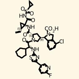 C=C[C@@H]1C[C@]1(NC(=O)[C@@H]1C[C@@H](C2c3cccc(Cl)c3CN2C(=O)O)CN1C(=O)[C@@H](Nc1nc(-c2ccc(F)nc2)cs1)C1CCCCC1)C(=O)NS(=O)(=O)C1CC1